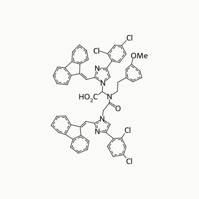 COc1cccc(CCN(C(=O)Cn2cc(-c3ccc(Cl)cc3Cl)nc2C=C2c3ccccc3-c3ccccc32)C(C(=O)O)n2cc(-c3ccc(Cl)cc3Cl)nc2C=C2c3ccccc3-c3ccccc32)c1